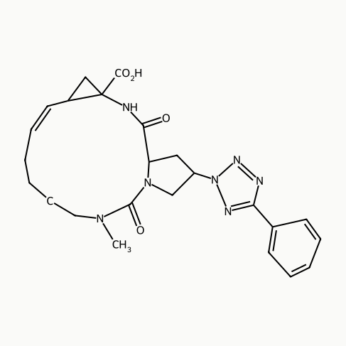 CN1CCCCC=CC2CC2(C(=O)O)NC(=O)C2CC(n3nnc(-c4ccccc4)n3)CN2C1=O